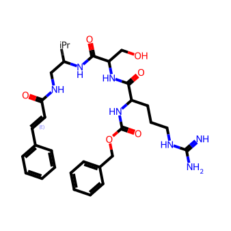 CC(C)C(CNC(=O)/C=C/c1ccccc1)NC(=O)C(CO)NC(=O)C(CCCNC(=N)N)NC(=O)OCc1ccccc1